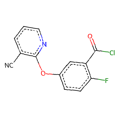 N#Cc1cccnc1Oc1ccc(F)c(C(=O)Cl)c1